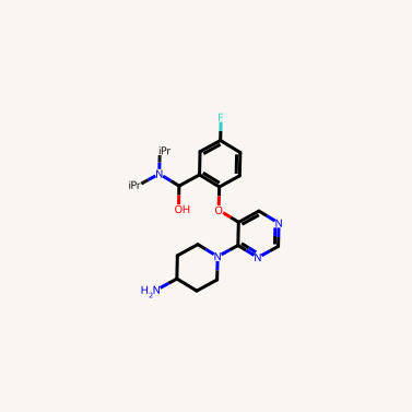 CC(C)N(C(C)C)C(O)c1cc(F)ccc1Oc1cncnc1N1CCC(N)CC1